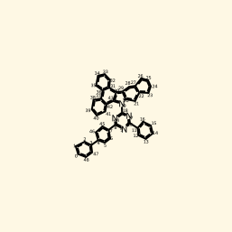 c1ccc(-c2ccc(-c3nc(-c4ccccc4)nc(-n4c5cc6ccccc6cc5c5c6ccccc6c6ccccc6c54)n3)cc2)cc1